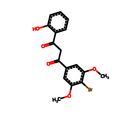 COc1cc(C(=O)CC(=O)c2ccccc2O)cc(OC)c1Br